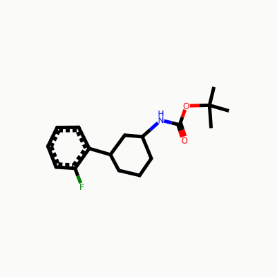 CC(C)(C)OC(=O)NC1CCCC(c2ccccc2F)C1